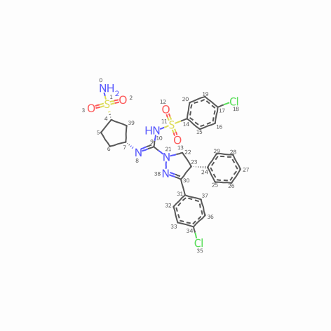 NS(=O)(=O)[C@H]1CC[C@@H](/N=C(\NS(=O)(=O)c2ccc(Cl)cc2)N2C[C@H](c3ccccc3)C(c3ccc(Cl)cc3)=N2)C1